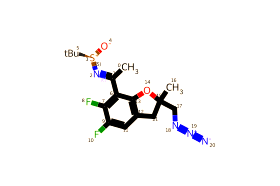 C/C(=N\[S@+]([O-])C(C)(C)C)c1c(F)c(F)cc2c1OC(C)(CN=[N+]=[N-])C2